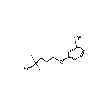 CCOC(=O)c1cccc(OCCCC(F)(F)C(F)(F)F)c1